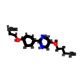 CCCCCCCCCCCCOc1ccc(-c2ncc(OCCCC(C)CC)cn2)cc1